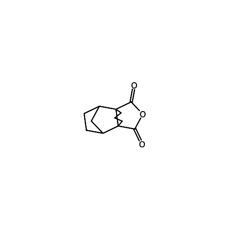 O=C1OC(=O)C23CCCC12C1CCC3C1